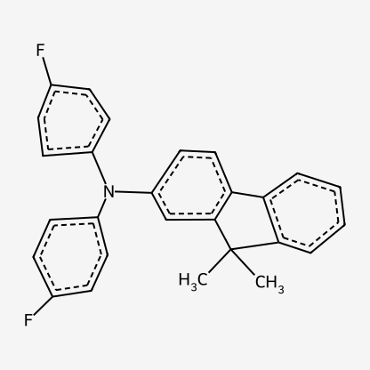 CC1(C)c2ccccc2-c2ccc(N(c3ccc(F)cc3)c3ccc(F)cc3)cc21